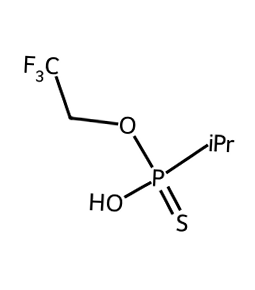 CC(C)P(O)(=S)OCC(F)(F)F